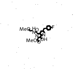 COCCNC(=O)c1nc(C(=O)OC)c(O)c2ncc(Cc3ccc(F)cc3)cc12